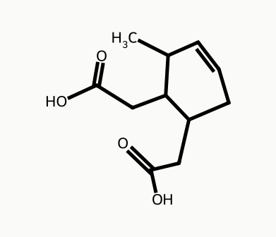 CC1C=CCC(CC(=O)O)C1CC(=O)O